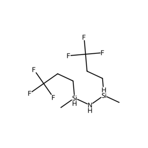 C[SiH](CCC(F)(F)F)N[SiH](C)CCC(F)(F)F